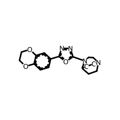 c1cc2c(cc1-c1nnc(N3CCN4CCC3CC4)o1)OCCO2